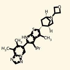 Cc1c(-c2[nH]c3sc([C@@H]4C[C@@H]5C[C@H]4CN5C4COC4)c(C)c3c2C(C)C)cn2ncnc2c1C